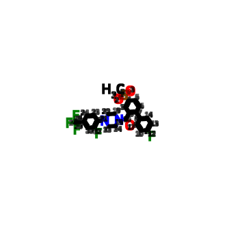 CS(=O)(=O)c1ccc(-c2ccc(F)cc2)c(C(=O)N2CCN(c3ccc(C(F)(F)F)cc3F)CC2)c1